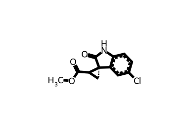 COC(=O)C1C[C@@]12C(=O)Nc1ccc(Cl)cc12